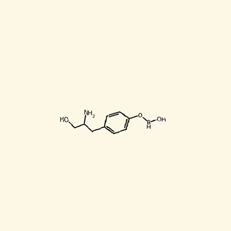 NC(CO)Cc1ccc(OBO)cc1